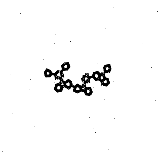 c1ccc(-c2cc(-c3ccccc3)nc(-n3c4ccccc4c4cc(-c5ccc6c7ccccc7n(-c7ncnc(-c8ccc9c(c8)c8ncccc8n9-c8ccccc8)n7)c6c5)ccc43)n2)cc1